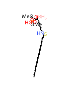 B[C@@H]1O[C@H](COC)C(OP(=O)(O)OC)[C@@H]1C/C=C/CCCCNC(=S)C#CC#CC#CC#CC#CC#CC#CC#CC#CC#CC